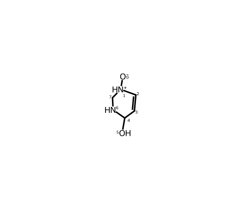 [O-][NH+]1C=CC(O)NC1